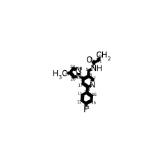 C=CC(=O)NCc1cnc(-c2ccc(F)cc2)cc1-n1cc(C)cn1